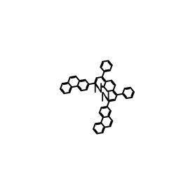 c1ccc(-c2cc(-c3ccc4c(ccc5ccccc54)c3)nc3c2ccc2c(-c4ccccc4)cc(-c4ccc5c(ccc6ccccc65)c4)nc23)cc1